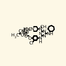 C=C(C)OP(=O)(OCOc1ccc(Nc2nc(NC3CCCCCC3)nc(N(C)C3CCN(C)CC3)n2)cc1Cl)OC(C)(C)C